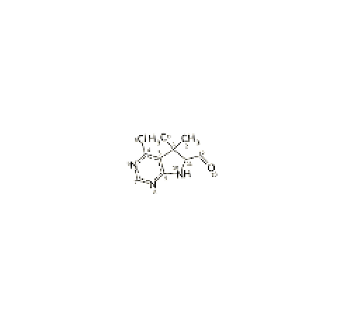 CC1(C)c2c(Cl)ncnc2NC1C=O